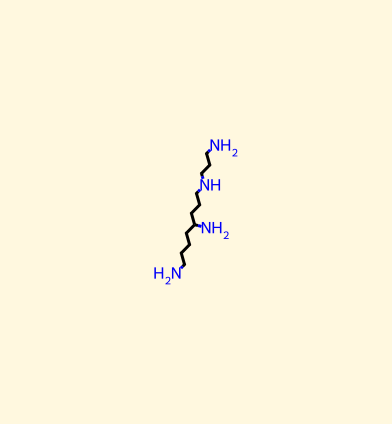 NCCCCC(N)CCCNCCCN